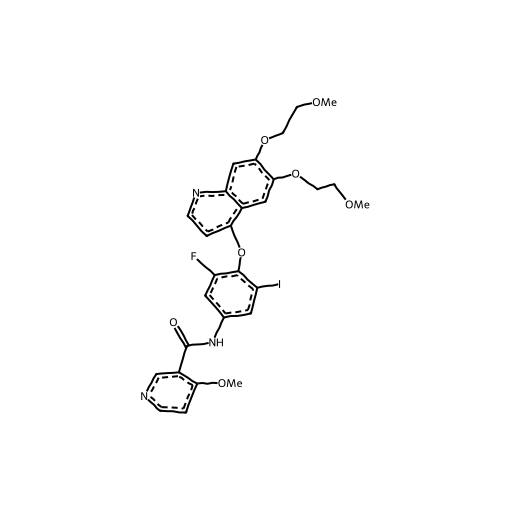 COCCOc1cc2nccc(Oc3c(F)cc(NC(=O)c4cnccc4OC)cc3I)c2cc1OCCOC